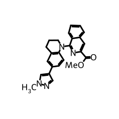 COC(=O)c1cc2ccccc2c(N2CCCc3cc(-c4cnn(C)c4)ccc32)n1